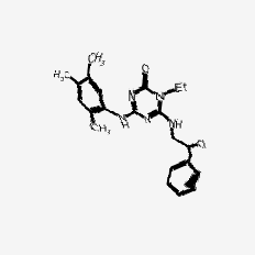 CCn1c(NCC(Cl)c2ccccc2)nc(Nc2cc(C)c(C)cc2C)nc1=O